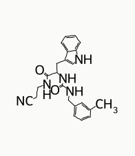 Cc1cccc(CNC(=O)NC(Cc2c[nH]c3ccccc23)C(=O)NCCC#N)c1